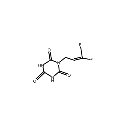 O=c1[nH]c(=O)n(CC=C(F)F)c(=O)[nH]1